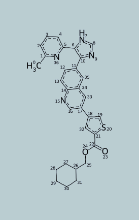 Cc1cccc(-c2[nH]cnc2-c2ccc3ncc(-c4csc(C(=O)OCC5CCCCC5)c4)cc3c2)n1